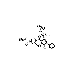 C[C@H]1C[C@H](OS(C)(=O)=O)CN1c1nc(-c2ccccc2F)c(Cl)c2c1C(=O)N1CCN(C(=O)OC(C)(C)C)CC1CO2